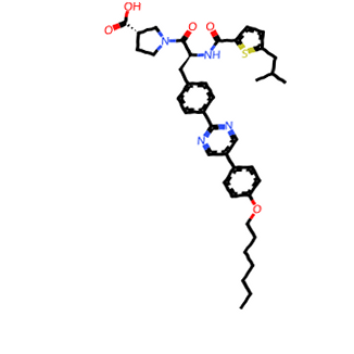 CCCCCCCOc1ccc(-c2cnc(-c3ccc(C[C@H](NC(=O)c4ccc(CC(C)C)s4)C(=O)N4CC[C@H](C(=O)O)C4)cc3)nc2)cc1